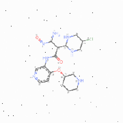 NC(N=O)C(C(=O)Nc1cnccc1O[C@@H]1CCCNC1)C1NCC(Cl)CN1